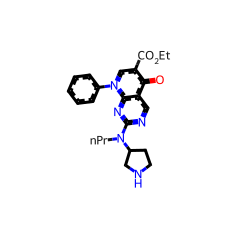 CCCN(c1ncc2c(=O)c(C(=O)OCC)cn(-c3ccccc3)c2n1)C1CCNC1